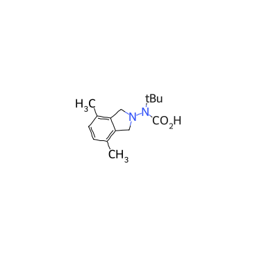 Cc1ccc(C)c2c1CN(N(C(=O)O)C(C)(C)C)C2